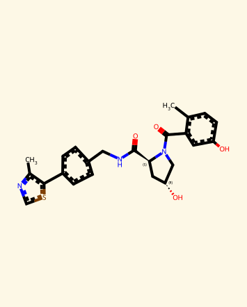 Cc1ccc(O)cc1C(=O)N1C[C@H](O)C[C@H]1C(=O)NCc1ccc(-c2scnc2C)cc1